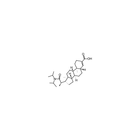 CC(C)N(C(=O)[C@H](C)[C@H]1CC[C@H]2[C@@H]3CC[C@H]4C=C(C(=O)O)CC[C@]4(C)[C@H]3CC[C@]12C)C(C)C